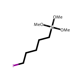 CO[Si](CCCCCI)(OC)OC